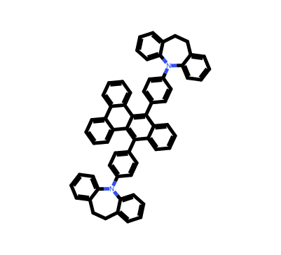 c1ccc2c(c1)CCc1ccccc1N2c1ccc(-c2c3ccccc3c(-c3ccc(N4c5ccccc5CCc5ccccc54)cc3)c3c4ccccc4c4ccccc4c23)cc1